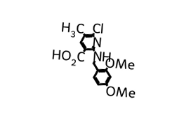 COc1ccc(CNc2nc(Cl)c(C)cc2C(=O)O)c(OC)c1